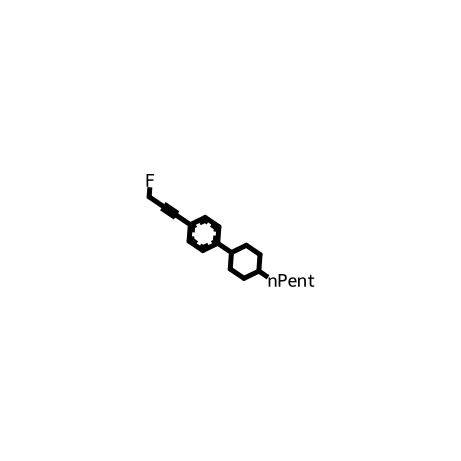 CCCCCC1CCC(c2ccc(C#CCF)cc2)CC1